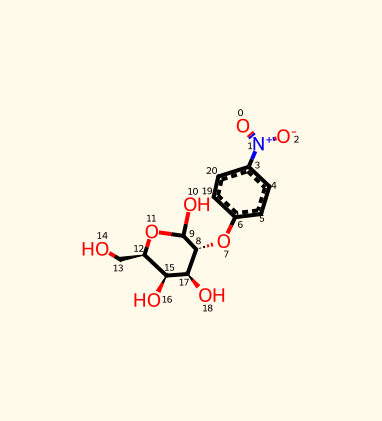 O=[N+]([O-])c1ccc(O[C@H]2C(O)O[C@H](CO)[C@H](O)[C@@H]2O)cc1